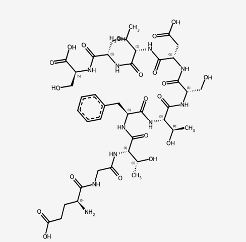 CC(C)[C@H](NC(=O)[C@H](CC(=O)O)NC(=O)[C@H](CO)NC(=O)[C@@H](NC(=O)[C@H](Cc1ccccc1)NC(=O)[C@@H](NC(=O)CNC(=O)[C@@H](N)CCC(=O)O)[C@@H](C)O)[C@@H](C)O)C(=O)N[C@@H](CO)C(=O)N[C@@H](CO)C(=O)O